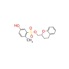 Cc1ccc(O)cc1S(=O)(=O)OCC1CCc2ccccc2O1